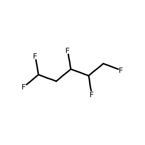 FCC(F)C(F)CC(F)F